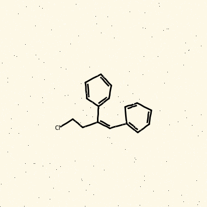 ClCCC(=Cc1ccccc1)c1ccccc1